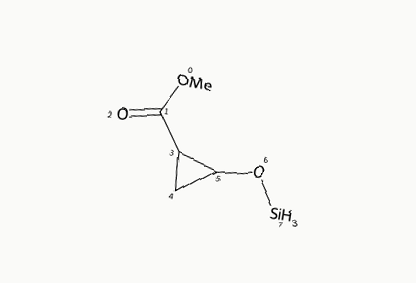 COC(=O)C1CC1O[SiH3]